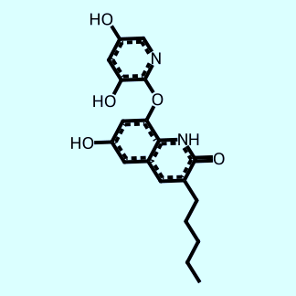 CCCCCc1cc2cc(O)cc(Oc3ncc(O)cc3O)c2[nH]c1=O